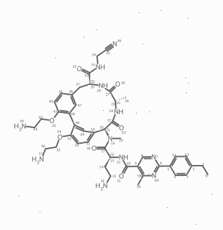 CCc1ccc(-c2ncc(C(=O)N[C@@H](CCN)C(=O)N(C)[C@@H]3C(=O)N[C@@H](C)C(=O)N[C@H](C(=O)NCC#N)Cc4ccc(OCCN)c(c4)-c4cc3ccc4OCCN)c(C)n2)cc1